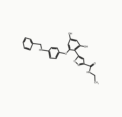 CCNC(=O)c1cc(-c2c(O)cc(O)cc2Oc2ccc(NCc3ccccc3)cc2)on1